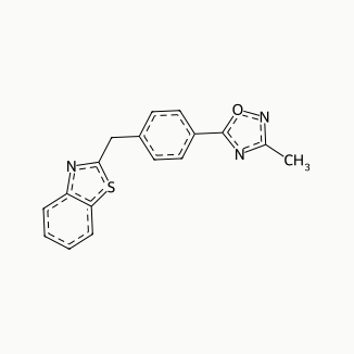 Cc1noc(-c2ccc(Cc3nc4ccccc4s3)cc2)n1